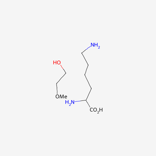 COCCO.NCCCCC(N)C(=O)O